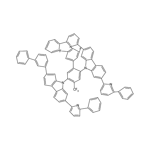 Fc1cc(F)cc(-c2cc(-n3c4cc(-c5cccc(-c6ccccc6)c5)ccc4c4ccc(-c5cccc(-c6ccccc6)n5)cc43)c(C(F)(F)F)cc2-n2c3cc(-c4cccc(-c5ccccc5)n4)ccc3c3ccc(-c4cccc(-c5ccccc5)n4)cc32)c1